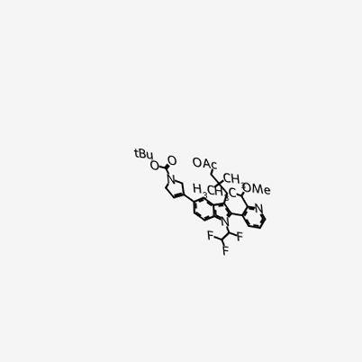 COC(C)c1ncccc1-c1c(CC(C)(C)COC(C)=O)c2cc(C3=CCN(C(=O)OC(C)(C)C)C3)ccc2n1C(F)C(F)F